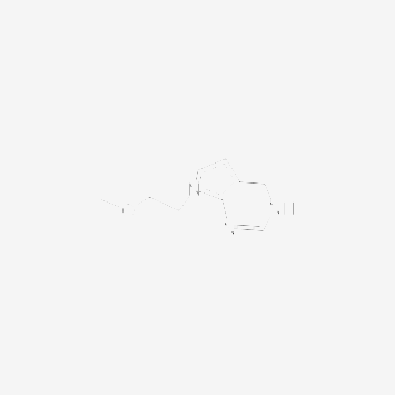 COCCn1ccc2c1N=CNC2